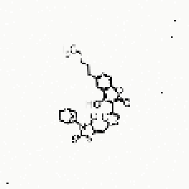 CCCCCc1ccc2oc(=O)c(-c3ccc(C=C4SC(=S)N(C5CC6CCC5C6)C4=O)o3)c(O)c2c1